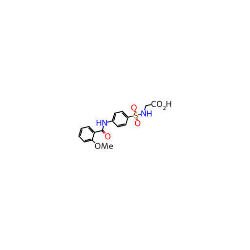 COc1ccccc1C(=O)Nc1ccc(S(=O)(=O)NCC(=O)O)cc1